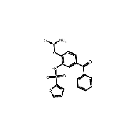 CCC(Oc1ccc(C(=O)c2ccccc2)cc1NS(=O)(=O)c1cccs1)[N+](=O)[O-]